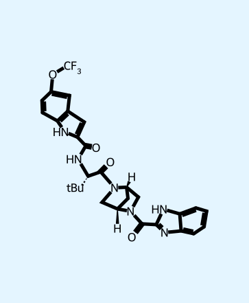 CC(C)(C)[C@H](NC(=O)c1cc2cc(OC(F)(F)F)ccc2[nH]1)C(=O)N1C[C@@H]2C[C@H]1CN2C(=O)c1nc2ccccc2[nH]1